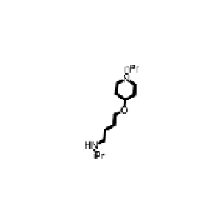 CCCN1CCC(OCCCCNC(C)C)CC1